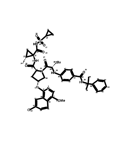 COc1cnc(O[C@@H]2C[C@@H](C(=O)N[C@]3(C(=O)NS(=O)(=O)C4CC4)C[C@H]3I)N(C(=O)[C@@H](Nc3ccc(C(=O)NC(C)(C)c4ccccc4)cc3)C(C)(C)C)C2)c2cc(Cl)ccc12